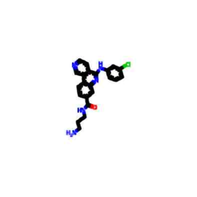 NCCCNC(=O)c1ccc2c(c1)nc(Nc1cccc(Cl)c1)c1ccncc12